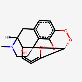 CN1CC[C@]23c4c5ccc6c4O[C@@]2(OO6)C(O)=C=C[C@@]3(O)[C@H]1C5